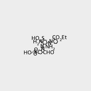 CCOC(=O)c1ccccc1/N=N/c1cc(S(=O)(=O)O)c(N)c(/N=N/c2cc(S(=O)(=O)CCO)ccc2C=O)c1N